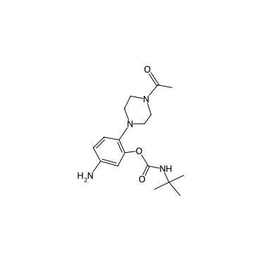 CC(=O)N1CCN(c2ccc(N)cc2OC(=O)NC(C)(C)C)CC1